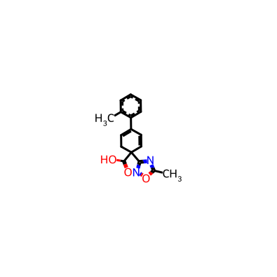 Cc1nc(C2(C(=O)O)C=CC(c3ccccc3C)=CC2)no1